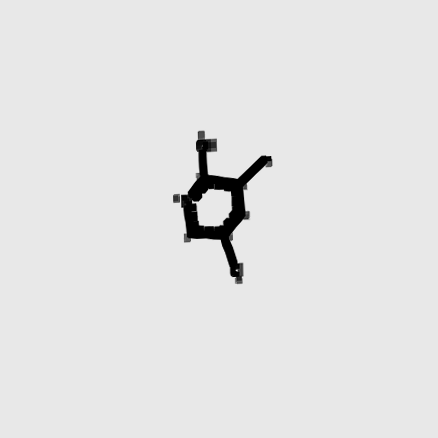 [CH2]c1cc(Cl)cnc1O